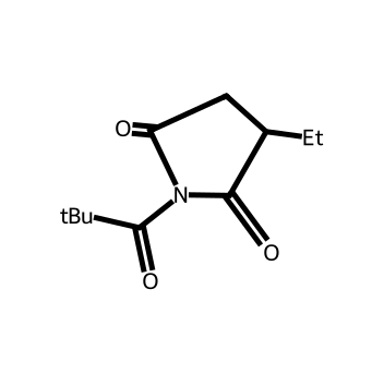 CCC1CC(=O)N(C(=O)C(C)(C)C)C1=O